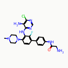 CN1CCN(c2ccc(-c3ccc(NC(=O)CN)cc3)c(F)c2Nc2ncnc(Cl)c2N)CC1